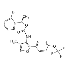 Cc1noc(-c2ccc(OC(F)(F)F)cc2)c1NC(=O)O[C@H](C)c1ccccc1Br